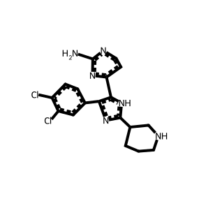 Nc1nccc(-c2[nH]c(C3CCCNC3)nc2-c2ccc(Cl)c(Cl)c2)n1